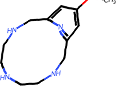 COc1cc2nc(c1)CNCCNCCNC2